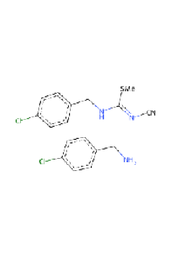 CS/C(=N\C#N)NCc1ccc(Cl)cc1.NCc1ccc(Cl)cc1